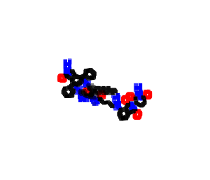 CO[C@@H]1[C@H](N(C)C(=O)CCCNc2cccc3c2C(=O)N(C2CCC(=O)NC2=O)C3=O)C[C@@]2(N)O[C@]1(C)n1c3ccccc3c3c4c(c5c6ccccc6n2c5c31)C(=O)NC4